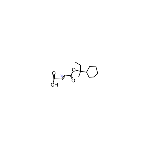 CCC(C)(OC(=O)/C=C/C(=O)O)C1CCCCC1